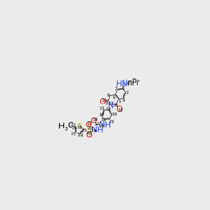 CCCNc1ccc2c(c1)CC(=O)N(c1ccc(NC(=O)NS(=O)(=O)c3ccc(C)s3)cc1)C2=O